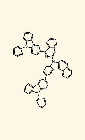 c1ccc(-n2c3ccccc3c3cc(-c4ccc5c(c4)c4c6ccccc6ccc4n5-c4nc(-c5ccc6c(c5)c5ccccc5n6-c5ccccc5)c5ccccc5n4)ccc32)cc1